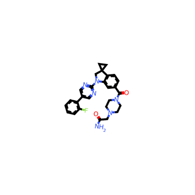 NC(=O)CN1CCN(C(=O)c2ccc3c(c2)N(c2ncc(-c4ccccc4F)cn2)CC32CC2)CC1